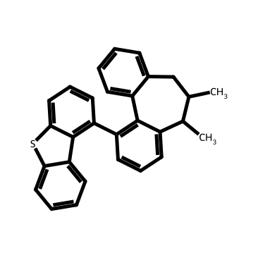 CC1Cc2ccccc2-c2c(-c3cccc4sc5ccccc5c34)cccc2C1C